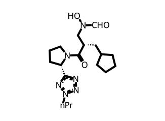 CCCn1nnc([C@@H]2CCCN2C(=O)[C@@H](CC2CCCC2)CN(O)C=O)n1